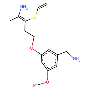 C=CS/C(CCOc1cc(CN)cc(OC(C)C)c1)=C(/C)N